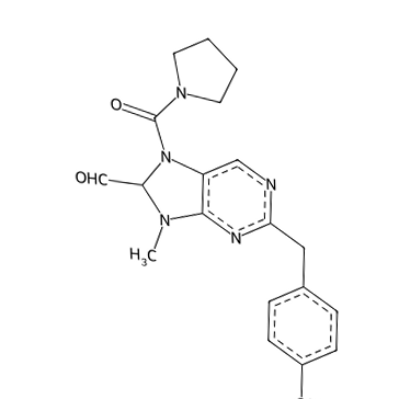 COc1ccc(Cc2ncc3c(n2)N(C)C(C=O)N3C(=O)N2CCCC2)cc1